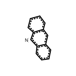 [N].c1ccc2cc3ccccc3cc2c1